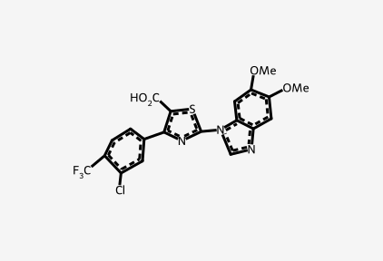 COc1cc2ncn(-c3nc(-c4ccc(C(F)(F)F)c(Cl)c4)c(C(=O)O)s3)c2cc1OC